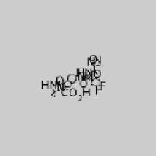 Cc1nonc1C(=O)N[C@H](C(=O)Nc1ccc2c(c1)CC(C(=O)O)(N1CC3(CC3)CNC1=O)C2)C1CCC(F)(F)CC1